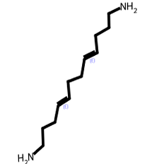 NCCC/C=C/CC/C=C/CCCN